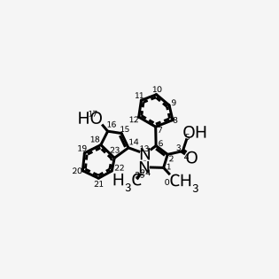 CC1C(C(=O)O)=C(c2ccccc2)N(C2=CC(O)c3ccccc32)N1C